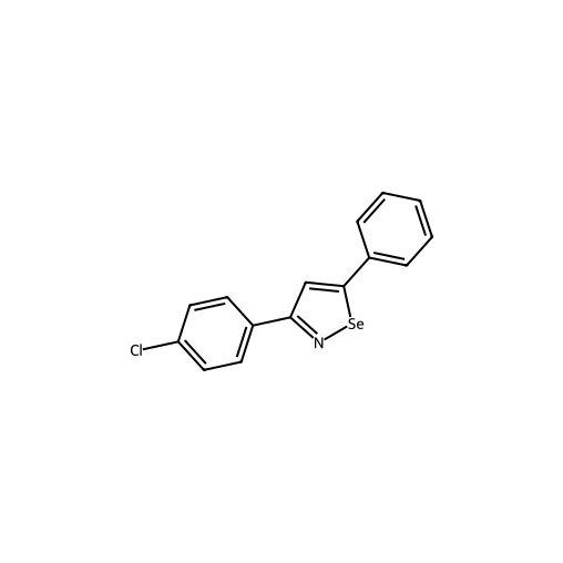 Clc1ccc(-c2cc(-c3ccccc3)[se]n2)cc1